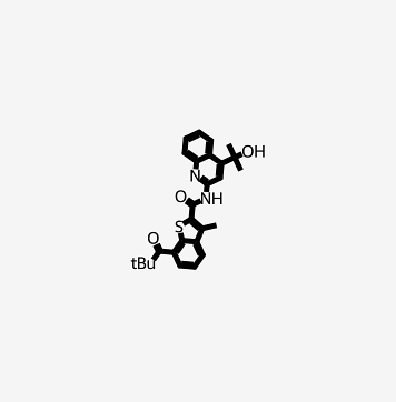 Cc1c(C(=O)Nc2cc(C(C)(C)O)c3ccccc3n2)sc2c(C(=O)C(C)(C)C)cccc12